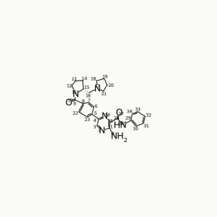 Nc1ncc(-c2ccc(C(=O)N3CCC[C@@H]3CN3CCCC3)cc2)nc1C(=O)Nc1ccccc1